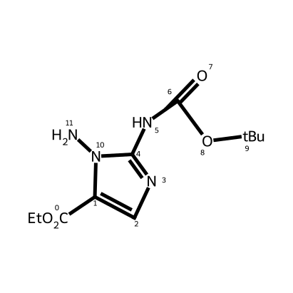 CCOC(=O)c1cnc(NC(=O)OC(C)(C)C)n1N